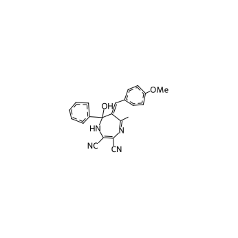 COc1ccc(C=C2C(C)=NC(C#N)=C(C#N)NC2(O)c2ccccc2)cc1